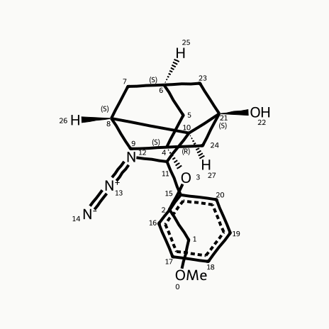 COCCO[C@@]12C[C@H]3C[C@@H](C1)[C@H](C(N=[N+]=[N-])c1ccccc1)[C@](O)(C3)C2